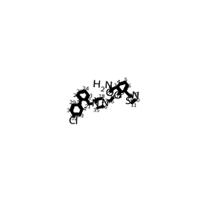 NC(=O)c1cccc(-c2nccs2)c1OCCN1CCN(Cc2ccccc2-c2ccc(Cl)cc2)CC1